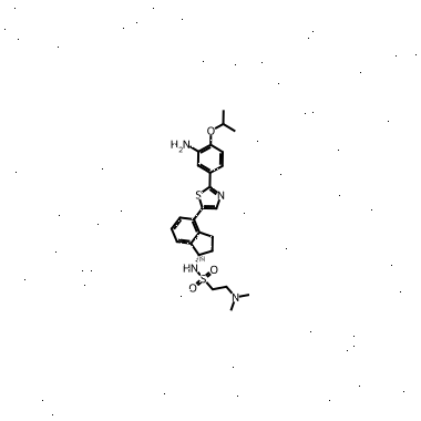 CC(C)Oc1ccc(-c2ncc(-c3cccc4c3CC[C@@H]4NS(=O)(=O)CCN(C)C)s2)cc1N